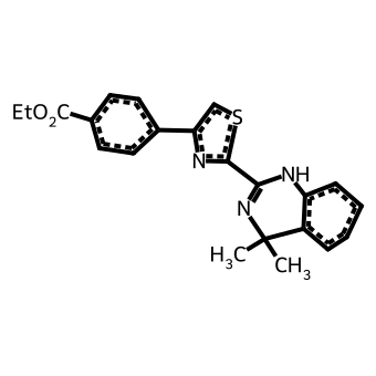 CCOC(=O)c1ccc(-c2csc(C3=NC(C)(C)c4ccccc4N3)n2)cc1